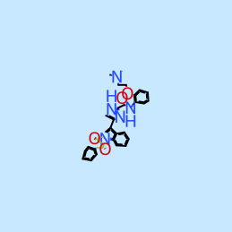 CN(C)CCOc1ccccc1NC(=O)c1nc(-c2cn(S(=O)(=O)c3ccccc3)c3ccccc23)c[nH]1